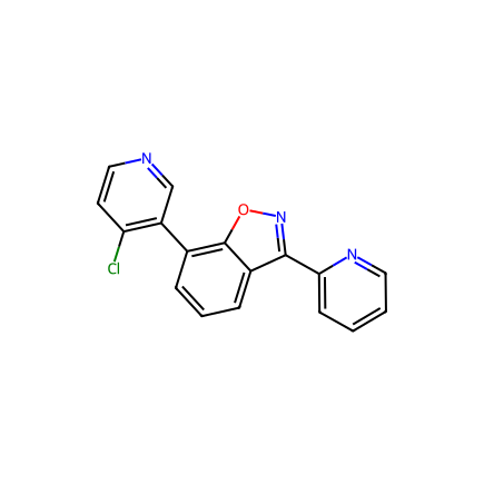 Clc1ccncc1-c1cccc2c(-c3ccccn3)noc12